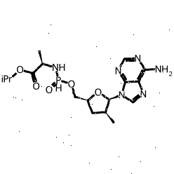 CC(C)OC(=O)[C@@H](C)N[PH](=O)OC[C@@H]1C[C@H](C)[C@H](n2cnc3c(N)ncnc32)O1